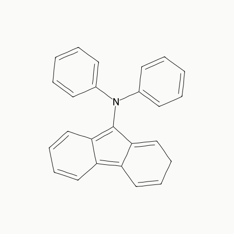 C1=CC2=c3ccccc3=C(N(c3ccccc3)c3ccccc3)C2=CC1